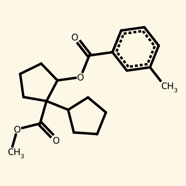 COC(=O)C1(C2CCCC2)CCCC1OC(=O)c1cccc(C)c1